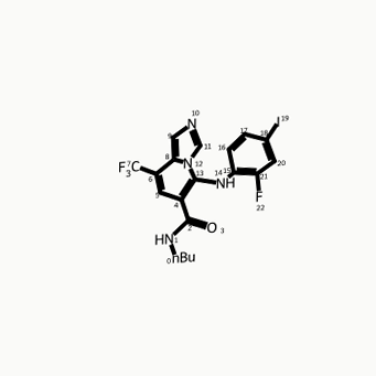 CCCCNC(=O)c1cc(C(F)(F)F)c2cncn2c1Nc1ccc(I)cc1F